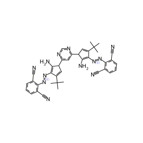 CC(C)(C)C1=CC(c2cc(C3C=C(C(C)(C)C)C(/N=N/c4c(C#N)cccc4C#N)=C3N)ncn2)C(N)=C1/N=N/c1c(C#N)cccc1C#N